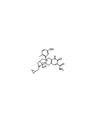 Cc1ccc(O)cc1[C@@]12Cc3[nH]c(=O)c(C(N)=O)cc3C[C@H]1[C@H]1C(CN1CC1CC1)C2